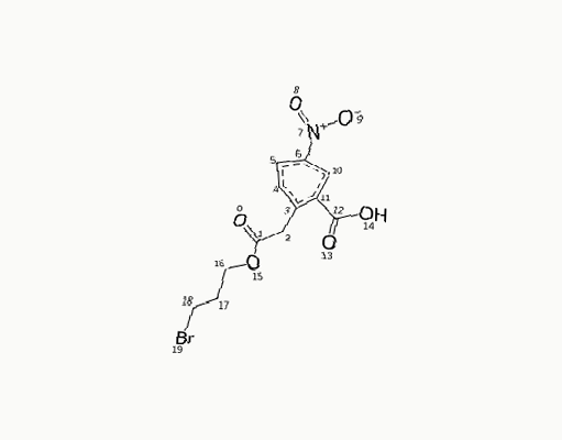 O=C(Cc1ccc([N+](=O)[O-])cc1C(=O)O)OCCCBr